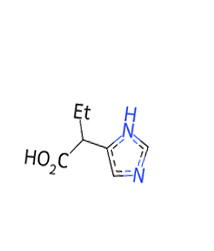 CCC(C(=O)O)c1cnc[nH]1